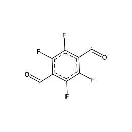 O=[C]c1c(F)c(F)c([C]=O)c(F)c1F